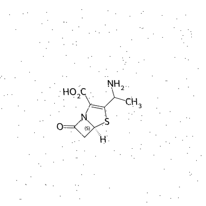 CC(N)C1=C(C(=O)O)N2C(=O)C[C@@H]2S1